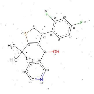 CC(C)(C)C1=C(C(O)c2cccnc2)C(c2ccc(F)cc2F)CS1